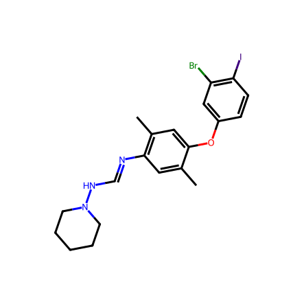 Cc1cc(Oc2ccc(I)c(Br)c2)c(C)cc1/N=C/NN1CCCCC1